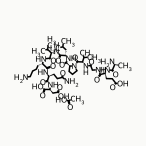 CC(=O)O.CC(C)C[C@H](NC(=O)[C@@H]1CCCN1C(=O)[C@@H](NC(=O)CNC(=O)[C@H](CCC(=O)O)NC(=O)[C@H](C)N)C(C)C)C(=O)N[C@H](C(=O)N[C@@H](CCCCN)C(=O)N[C@@H](CCC(N)=O)C(=O)N[C@@H](CC(=O)O)C(=O)O)C(C)C